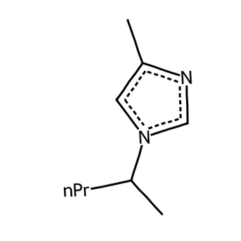 CCCC(C)n1cnc(C)c1